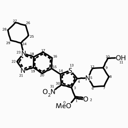 COC(=O)c1c(N2CCCC(CO)C2)sc(-c2ccc3c(c2)ncn3C2CCCCC2)c1[N+](=O)[O-]